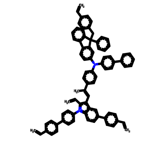 C=Cc1ccc(CC2(c3ccccc3)c3ccccc3-c3ccc(N(c4ccc(/C(C)=C/c5c(C=C)n(-c6ccc(-c7ccc(C=C)cc7)cc6)c6ccc(-c7ccc(C=C)cc7)cc56)cc4)c4ccc(-c5ccccc5)cc4)cc32)cc1